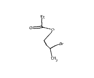 CCC(=O)OCC(C)Br